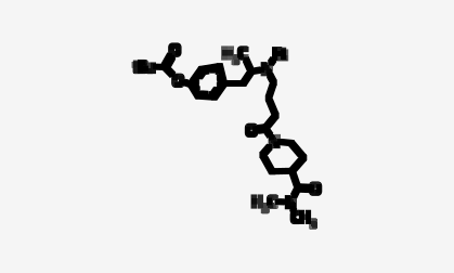 CCN(CCCC(=O)N1CCC(C(=O)N(C)C)CC1)C(C)Cc1ccc(OC(=O)C(C)(C)C)cc1